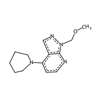 COCn1ncc2c(N3CCCCC3)ccnc21